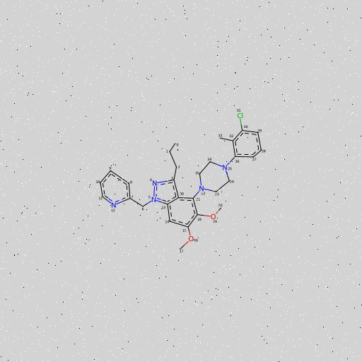 CCCc1nn(Cc2ccccn2)c2cc(OC)c(OC)c(N3CCN(c4cccc(Cl)c4C)CC3)c12